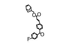 O=C(/C=C/c1ccc(C(=O)c2ccc(F)cc2)cc1)OCC1CC2C=CC1C2